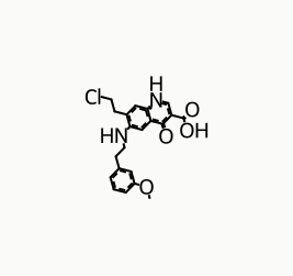 COc1cccc(CCNc2cc3c(=O)c(C(=O)O)c[nH]c3cc2CCCl)c1